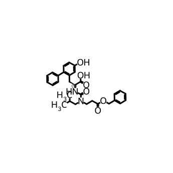 CC(C)CN(CCC(=O)OCc1ccccc1)C(=O)N[C@@H](Cc1cc(O)ccc1-c1ccccc1)C(=O)O